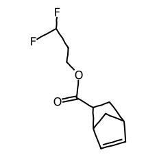 O=C(OCCC(F)F)C1CC2C=CC1C2